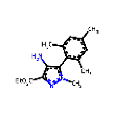 CCOC(=O)c1nn(C)c(-c2c(C)cc(C)cc2C)c1N